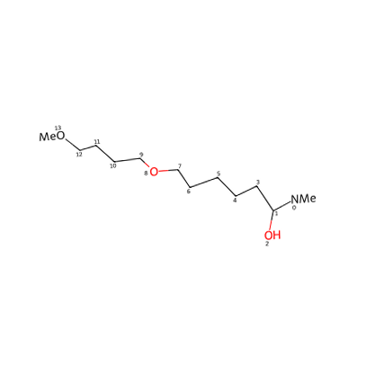 CNC(O)CCCCCOCCCCOC